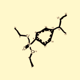 CCOP(=O)(OCC)c1ccc(C(C)CC)cc1